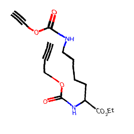 C#CCOC(=O)NC(CCCCNC(=O)OC#C)C(=O)OCC